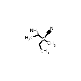 CCS(C)(C#N)CC.N